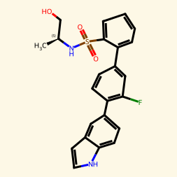 C[C@@H](CO)NS(=O)(=O)c1ccccc1-c1ccc(-c2ccc3[nH]ccc3c2)c(F)c1